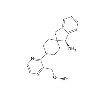 CCCOCc1nccnc1N1CCC2(CC1)Cc1ccccc1[C@H]2N